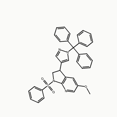 COc1cnc2c(c1)C(c1cnn(C(c3ccccc3)(c3ccccc3)c3ccccc3)c1)CN2S(=O)(=O)c1ccccc1